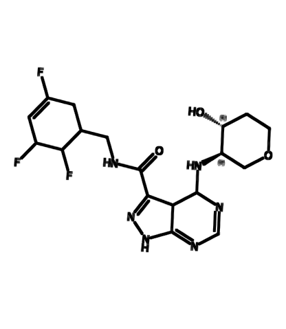 O=C(NCC1CC(F)=CC(F)C1F)C1=NNC2=NC=NC(N[C@@H]3COCC[C@H]3O)C21